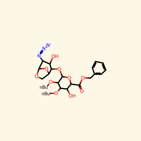 CCCCOC1C(OC2C3COC(O3)C(N=[N+]=[N-])C2O)OC(C(=O)OCc2ccccc2)C(O)C1OCCCC